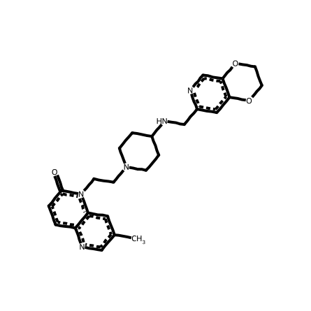 Cc1cnc2ccc(=O)n(CCN3CCC(NCc4cc5c(cn4)OCCO5)CC3)c2c1